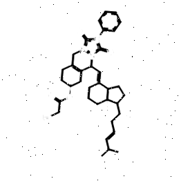 CC(C)/C=C/C[C@@H](C)C1CCC2/C(=C/C3C4=C(CC[C@H](OC(=O)CBr)C4)Cn4c(=O)n(-c5ccccc5)c(=O)n43)CCC[C@@]21C